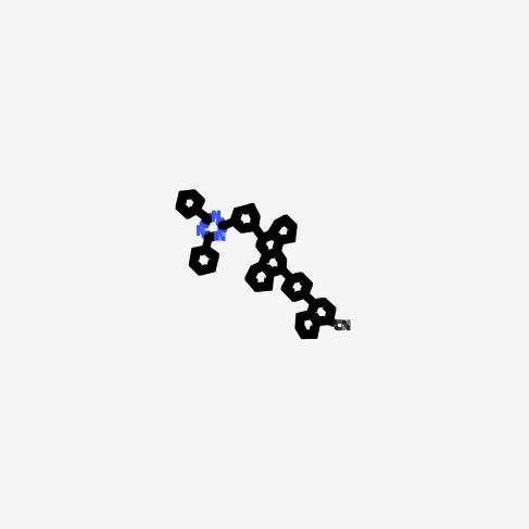 N#Cc1ccc(-c2ccc(-c3cc4c5ccccc5c(-c5cccc(-c6nc(-c7ccccc7)nc(-c7ccccc7)n6)c5)cc4c4ccccc34)cc2)c2ccccc12